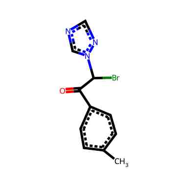 Cc1ccc(C(=O)C(Br)n2cncn2)cc1